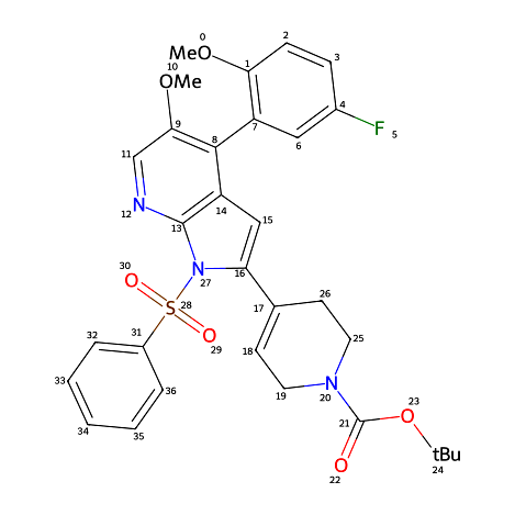 COc1ccc(F)cc1-c1c(OC)cnc2c1cc(C1=CCN(C(=O)OC(C)(C)C)CC1)n2S(=O)(=O)c1ccccc1